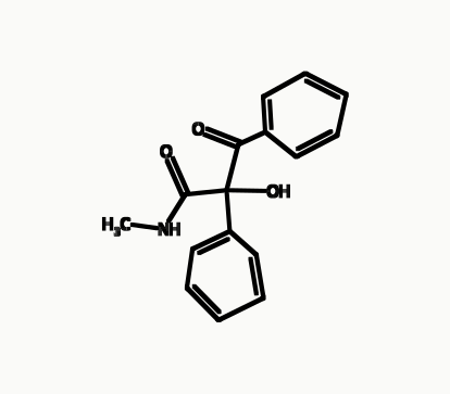 CNC(=O)C(O)(C(=O)c1ccccc1)c1ccccc1